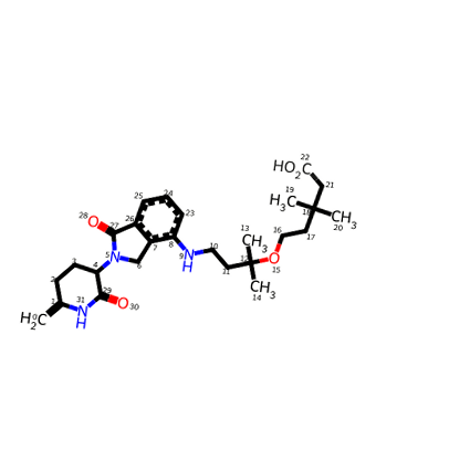 C=C1CCC(N2Cc3c(NCCC(C)(C)OCCC(C)(C)CC(=O)O)cccc3C2=O)C(=O)N1